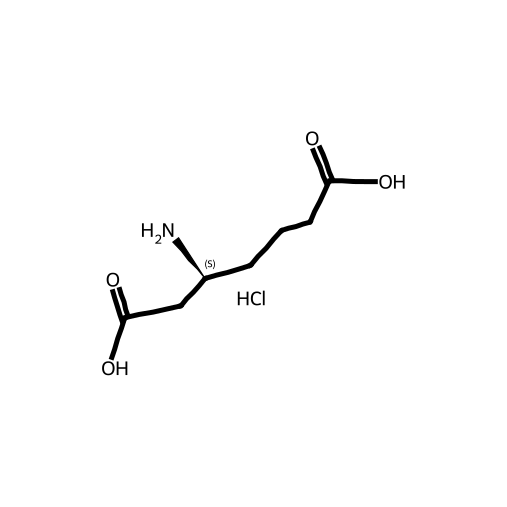 Cl.N[C@@H](CCCC(=O)O)CC(=O)O